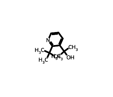 CC(C)(C)c1ncccc1C(C)(C)O